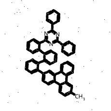 Cc1ccc2c3ccc(-c4ccccc4-c4ccccc4-c4ccccc4-c4nc(-c5ccccc5)nc(-c5ccccc5)n4)cc3c3ccccc3c2c1